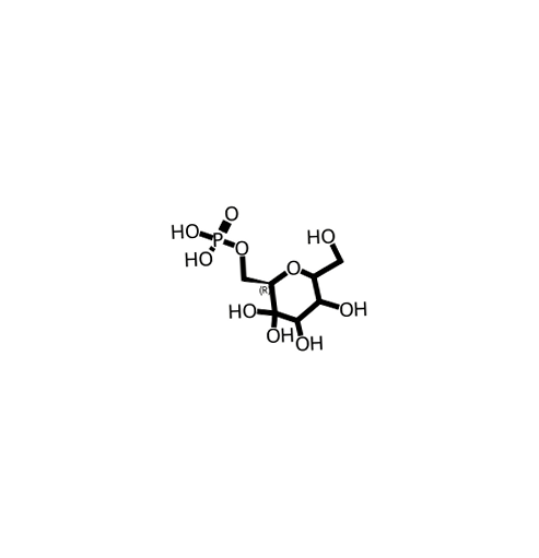 O=P(O)(O)OC[C@H]1OC(CO)C(O)C(O)C1(O)O